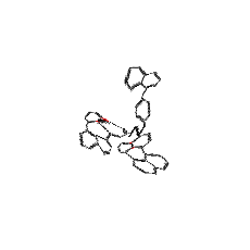 c1ccc(-c2cccc3cccc(-c4ccc(N(c5ccc(-c6cccc7ccccc67)cc5)c5cccc(-c6cccc7cccc(-c8ccccc8)c67)c5)cc4)c23)cc1